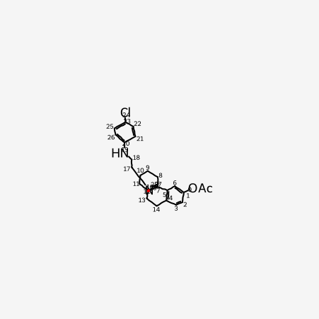 CC(=O)Oc1ccc2c(c1)C13CCCCC1(CC2)CN(CCNc1ccc(Cl)cc1)CC3